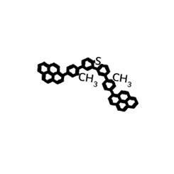 Cc1cc(-c2ccc3ccc4cccc5ccc2c3c45)ccc1-c1ccc2sc3ccc(-c4ccc(-c5ccc6ccc7cccc8ccc5c6c78)cc4C)cc3c2c1